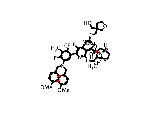 COc1ccc(CN(Cc2ccc(OC)cc2)c2cc(-c3nc4c5c(nc(OCC6(CO)CCOC6)nc5c3F)N3C[C@H]5CC[C@@H]([C@H]3[C@H](C)O4)N5C(=O)OC(C)(C)C)c(C(F)(F)F)c(C)c2F)cc1